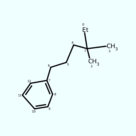 CCC(C)(C)[CH]CCc1ccccc1